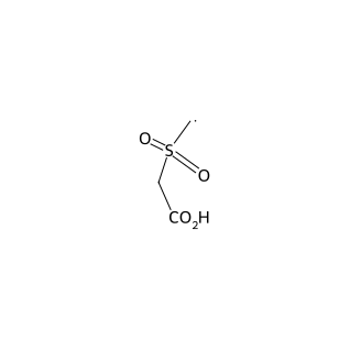 [CH2]S(=O)(=O)CC(=O)O